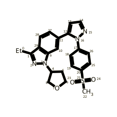 CCc1nn(C2CCOC2)c2cc(-c3ccnn3-c3ccc(S(C)(=O)=O)cc3)ccc12